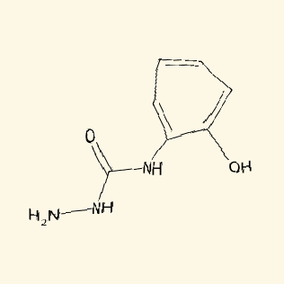 NNC(=O)Nc1ccccc1O